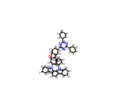 c1ccc(-c2nc(-c3ccccc3)nc(-c3ccc4oc5cc(-n6c7ccccc7c7ccc8c9ccccc9n(-c9ccccc9)c8c76)ccc5c4c3)n2)cc1